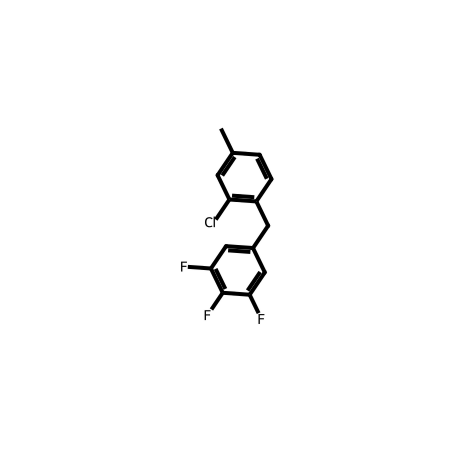 Cc1ccc(Cc2cc(F)c(F)c(F)c2)c(Cl)c1